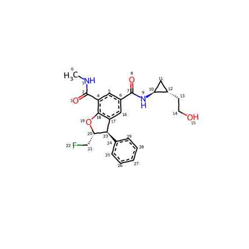 CNC(=O)c1cc(C(=O)N[C@H]2C[C@@H]2CCO)cc2c1O[C@@H](CF)[C@@H]2c1ccccc1